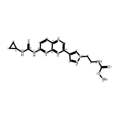 CC(C)(C)OC(=O)NCCn1cc(-c2cnc3ccc(NC(=S)NC4CC4)nc3n2)cn1